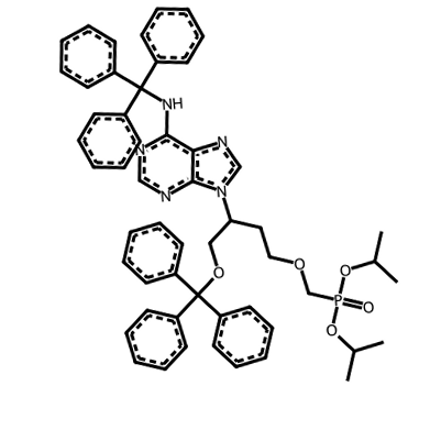 CC(C)OP(=O)(COCCC(COC(c1ccccc1)(c1ccccc1)c1ccccc1)n1cnc2c(NC(c3ccccc3)(c3ccccc3)c3ccccc3)ncnc21)OC(C)C